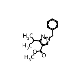 COC(=O)c1cn(Cc2ccccc2)nc1C(C)C